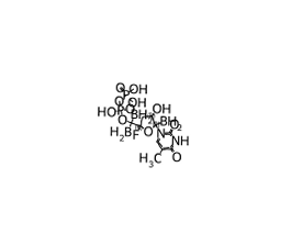 BC(B)(OP(=O)(O)OP(=O)(O)O)[C@]1(F)C[C@@H](O)[C@](B)(n2cc(C)c(=O)[nH]c2=O)O1